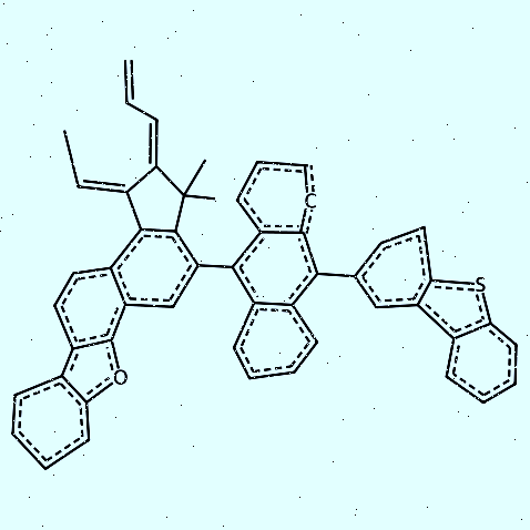 C=C/C=C1\C(=C/C)c2c(c(-c3c4ccccc4c(-c4ccc5sc6ccccc6c5c4)c4ccccc34)cc3c2ccc2c4ccccc4oc32)C1(C)C